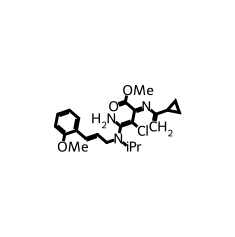 C=C(/N=C(C(=O)OC)\C(Cl)=C(/N)N(C/C=C/c1ccccc1OC)C(C)C)C1CC1